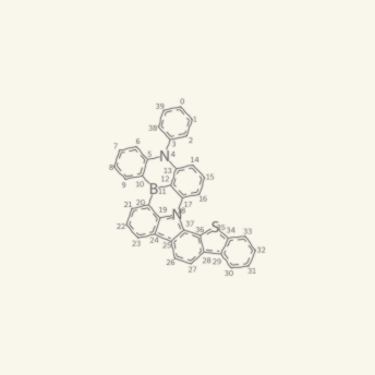 c1ccc(N2c3ccccc3B3c4c2cccc4-n2c4c3cccc4c3ccc4c5ccccc5sc4c32)cc1